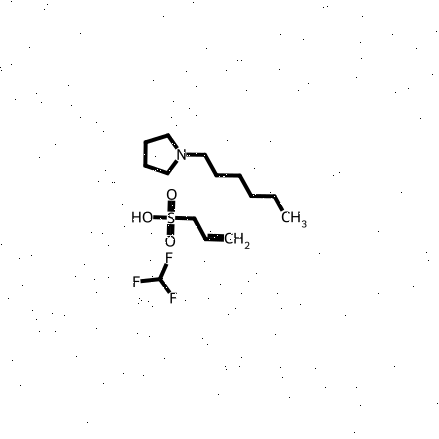 C=CCS(=O)(=O)O.CCCCCCN1CCCC1.FC(F)F